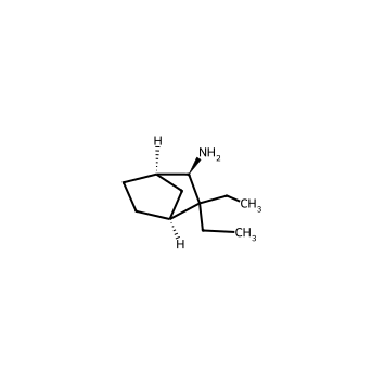 CCC1(CC)[C@H]2CC[C@H](C2)[C@H]1N